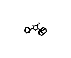 O=C1NC(c2ccccc2)CN1C12CC3CC(CC(C3)C1)C2